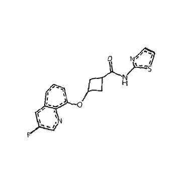 O=C(Nc1nccs1)C1CC(Oc2cccc3cc(F)cnc23)C1